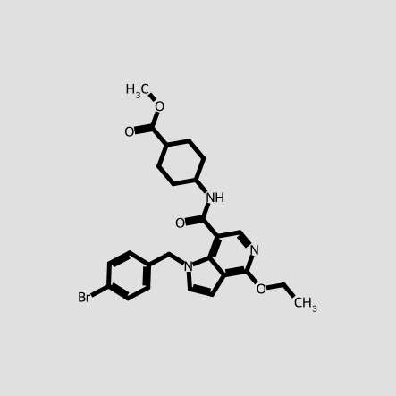 CCOc1ncc(C(=O)NC2CCC(C(=O)OC)CC2)c2c1ccn2Cc1ccc(Br)cc1